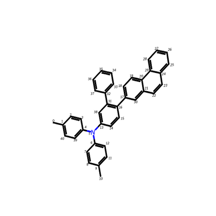 Cc1ccc(N(c2ccc(C)cc2)c2ccc(-c3ccc4c(ccc5ccccc54)c3)c(-c3ccccc3)c2)cc1